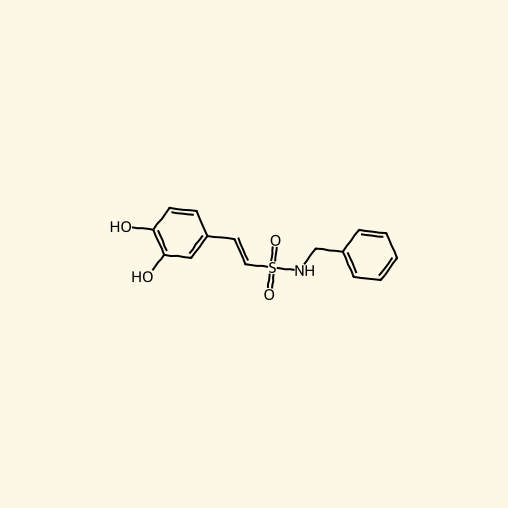 O=S(=O)(/C=C/c1ccc(O)c(O)c1)NCc1ccccc1